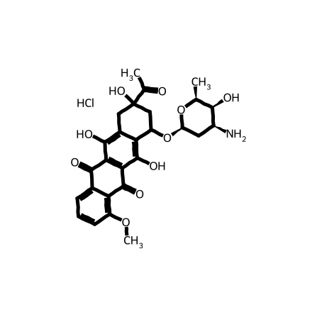 COc1cccc2c1C(=O)c1c(O)c3c(c(O)c1C2=O)CC(O)(C(C)=O)CC3O[C@@H]1C[C@H](N)[C@H](O)[C@H](C)O1.Cl